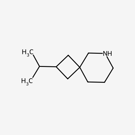 CC(C)C1CC2(CCCNC2)C1